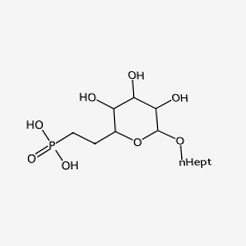 CCCCCCCOC1OC(CCP(=O)(O)O)C(O)C(O)C1O